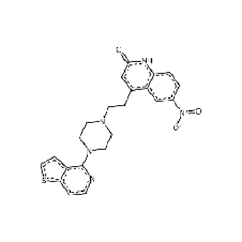 O=c1cc(CCN2CCN(c3nccc4sccc34)CC2)c2cc([N+](=O)[O-])ccc2[nH]1